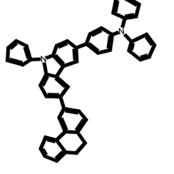 c1ccc(N(c2ccccc2)c2ccc(-c3ccc4c(c3)c3cc(-c5ccc6c(c5)-c5ccccc5CC6)ccc3n4-c3ccccc3)cc2)cc1